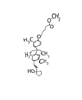 CCOC(=O)CCCCOc1ccc(C(CC)(CC)c2ccc(/C=C/C3(O)CCCC3)c(C)c2)cc1C